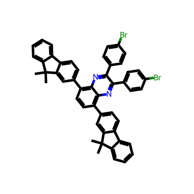 CC1(C)c2ccccc2-c2ccc(-c3ccc(-c4ccc5c(c4)C(C)(C)c4ccccc4-5)c4nc(-c5ccc(Br)cc5)c(-c5ccc(Br)cc5)nc34)cc21